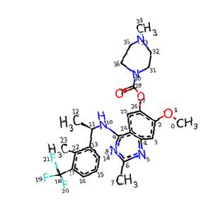 COc1cc2nc(C)nc(N[C@H](C)c3cccc(C(F)(F)F)c3C)c2cc1OC(=O)N1CCN(C)CC1